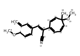 C=C/C=C(\C=C/COC)/C=C(\C#N)C1=CC=CC(C)(OC)C=C1